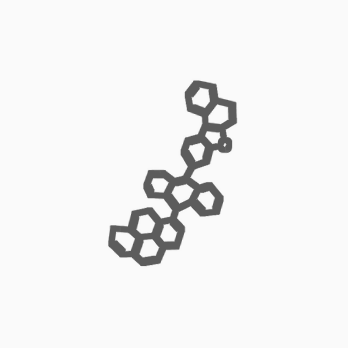 C1=Cc2ccc3ccc(-c4c5ccccc5c(-c5ccc6c(c5)oc5ccc7ccccc7c56)c5ccccc45)c4c3c2C(=CC4)C1